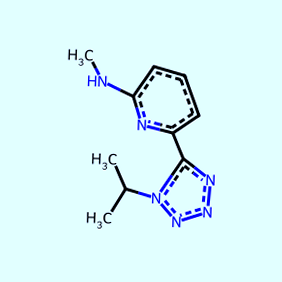 CNc1cccc(-c2nnnn2C(C)C)n1